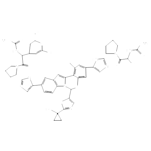 COC(=O)NC(C(=O)N1CCC[C@H]1c1ncc(-c2cc(F)c3c(c2)OC(c2cnc(C4(C)CC4)s2)n2c-3cc3cc(-c4cnc([C@@H]5CCCN5C(=O)C(NC(=O)OC)C5C=C(C)O[C@@H](C)C5)[nH]4)ccc32)[nH]1)C(C)C